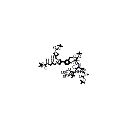 CC(C)(C)OC(=O)NC[C@H](O)Cn1cc(-c2ccc3c(c2)CC[C@H]([C@](C)(O/N=C(\C(=O)N[C@@H]2C(=O)N(OS(=O)(=O)[O-])C2(C)C)c2csc(NC(=O)OC(C)(C)C)n2)C(=O)OC(C)(C)C)O3)c[n+]1CC1CN(C(=O)OC(C)(C)C)C1